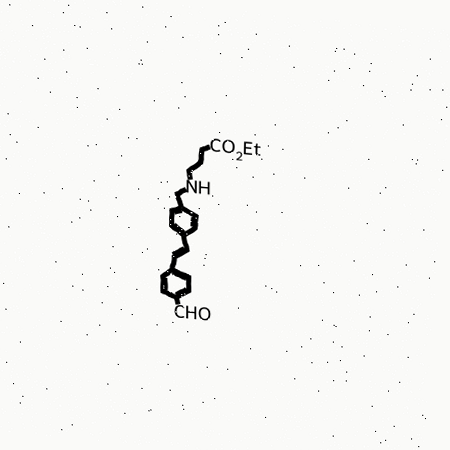 CCOC(=O)CCCNCc1ccc(/C=C/c2ccc(C=O)cc2)cc1